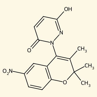 CC1=C(n2nc(O)ccc2=O)c2cc([N+](=O)[O-])ccc2OC1(C)C